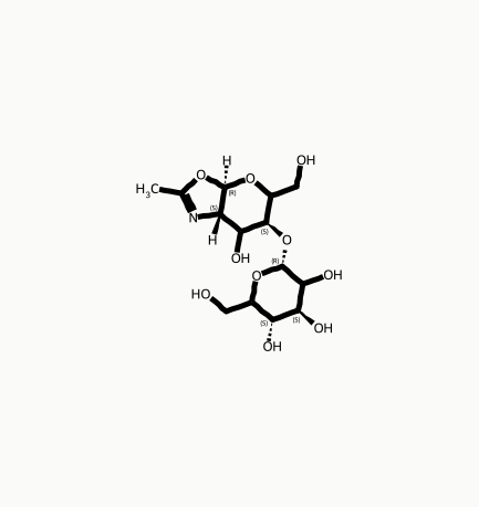 CC1=N[C@H]2C(O)[C@H](O[C@H]3OC(CO)[C@@H](O)[C@H](O)C3O)C(CO)O[C@@H]2O1